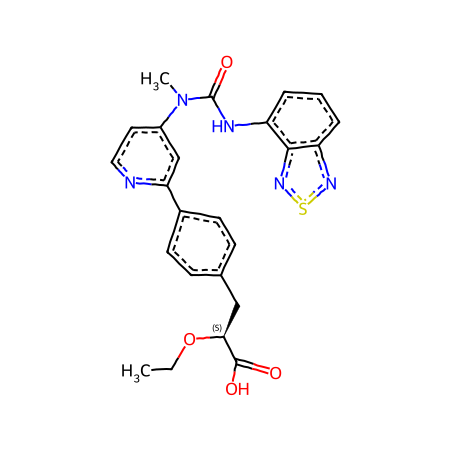 CCO[C@@H](Cc1ccc(-c2cc(N(C)C(=O)Nc3cccc4nsnc34)ccn2)cc1)C(=O)O